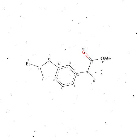 CCC1Cc2ccc(C(C)C(=O)OC)cc2C1